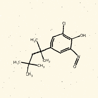 CC(C)(C)CC(C)(C)c1cc(Cl)c(O)c(N=O)c1